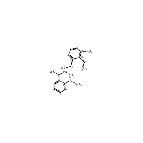 CC(C)c1ccccc1C(C)C.CCc1cccc(C)c1CC